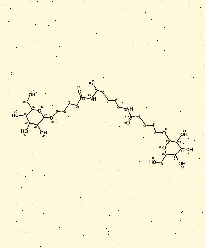 CC(=O)C(CCCCNC(=O)CCCCOC1OC(CO)C(O)C(O)C1O)NC(=O)CCCCOC1OC(CO)[C@H](O)C(O)C1O